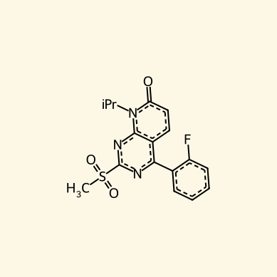 CC(C)n1c(=O)ccc2c(-c3ccccc3F)nc(S(C)(=O)=O)nc21